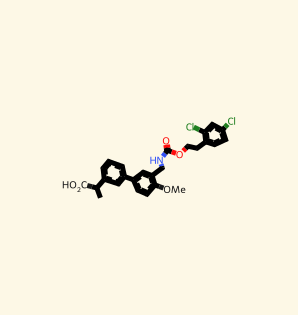 COc1ccc(-c2cccc(C(C)C(=O)O)c2)cc1CNC(=O)OCCc1ccc(Cl)cc1Cl